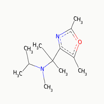 Cc1nc(C(C)(C)N(C)C(C)C)c(C)o1